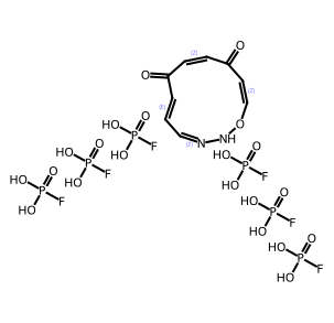 O=C1/C=C\ON/N=C\C=C\C(=O)/C=C\1.O=P(O)(O)F.O=P(O)(O)F.O=P(O)(O)F.O=P(O)(O)F.O=P(O)(O)F.O=P(O)(O)F